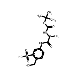 C[C@H](NC(=O)OC(C)(C)C)C(=O)Nc1ccc(CO)c(S(=O)(=O)O)c1